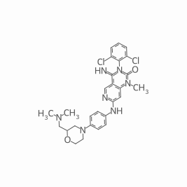 CN(C)CC1CN(c2ccc(Nc3cc4c(cn3)c(=N)n(-c3c(Cl)cccc3Cl)c(=O)n4C)cc2)CCO1